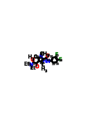 CCN(CC)C(=O)C(=O)c1c(C)c(C(=O)Nc2ccc(F)c(F)c2)n(C)c1C